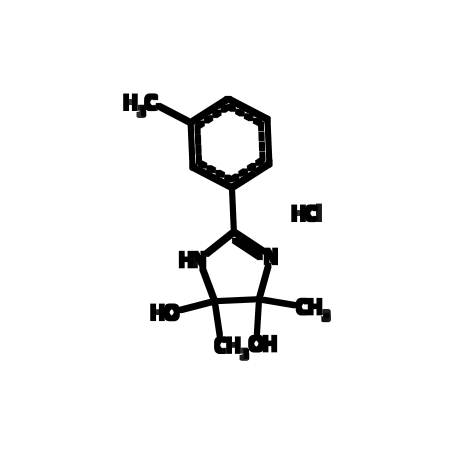 Cc1cccc(C2=NC(C)(O)C(C)(O)N2)c1.Cl